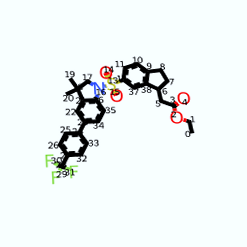 CCOC(=O)CC1CCc2ccc(S(=O)(=O)N3CC(C)(C)c4cc(-c5ccc(C(F)(F)F)cc5)ccc43)cc21